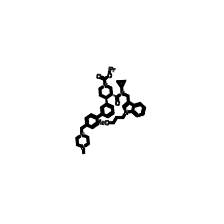 COCCCn1cc(CN(C(=O)[C@H]2CN(C(=O)OC(C)C)CC[C@@H]2c2cccc(-c3ccc(CN4CCN(C)CC4)cc3)c2)C2CC2)c2ccccc21